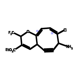 CCOC(=O)C1=CC2C#CC(N)/C(Cl)=C\C=C/2OC1C(F)(F)F